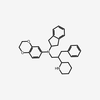 c1ccc(CC(CN(c2ccc3c(c2)OCCO3)C2Cc3ccccc3C2)C2CCCCN2)cc1